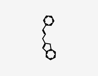 [CH]1C(CC=Cc2ccccc2)=Cc2ccccc21